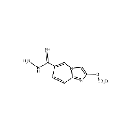 CCOC(=O)Oc1cn2cc(C(=N)NN)ccc2n1